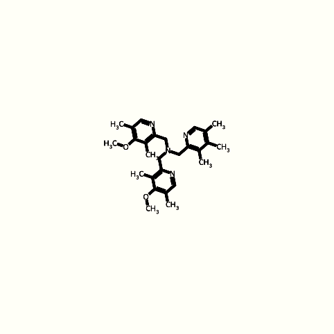 COc1c(C)cnc(CN(Cc2ncc(C)c(C)c2C)Cc2ncc(C)c(OC)c2C)c1C